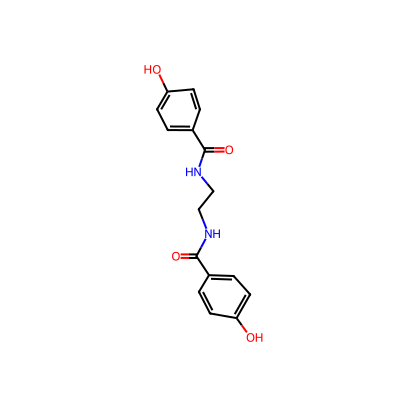 O=C(NCCNC(=O)c1ccc(O)cc1)c1ccc(O)cc1